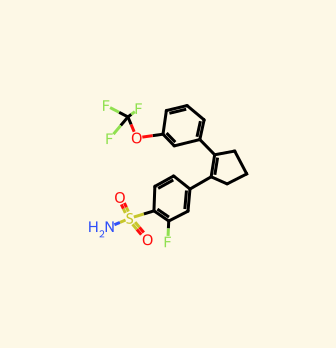 NS(=O)(=O)c1ccc(C2=C(c3cccc(OC(F)(F)F)c3)CCC2)cc1F